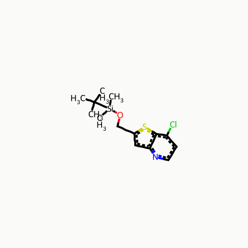 CC(C)(C)[Si](C)(C)OCc1cc2nccc(Cl)c2s1